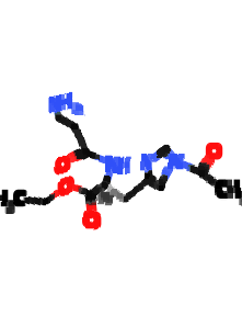 CCOC(=O)[C@@H](Cc1cn(C(C)=O)cn1)NC(=O)CCN